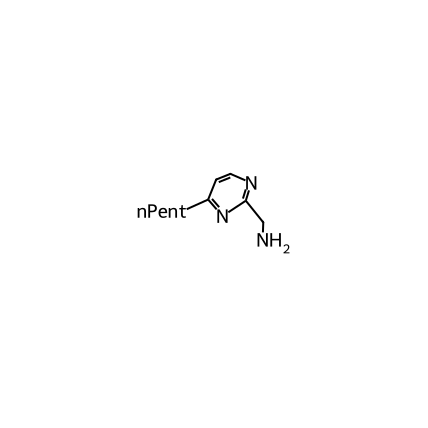 CCCCCc1ccnc(CN)n1